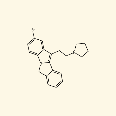 Brc1ccc2c(c1)c(CCN1CCCC1)c1n2Cc2ccccc2-1